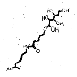 CC(=O)C(C)CCCCNC(=O)CCCCOC(O)C(O)C(O)C(O)CCO